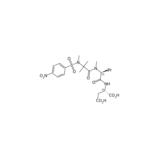 CC(C)[C@@H](C(=O)N[C@@H](CC(=O)O)C(=O)O)N(C)C(=O)C(C)(C)N(C)S(=O)(=O)c1ccc([N+](=O)[O-])cc1